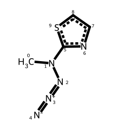 CN(N=[N+]=[N-])c1nccs1